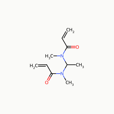 C=CC(=O)N(C)C(C)N(C)C(=O)C=C